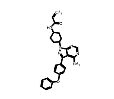 C=CC(=O)NC1CCC(n2nc(-c3ccc(Oc4ccccc4)cc3)c3c(N)ncnc32)CC1